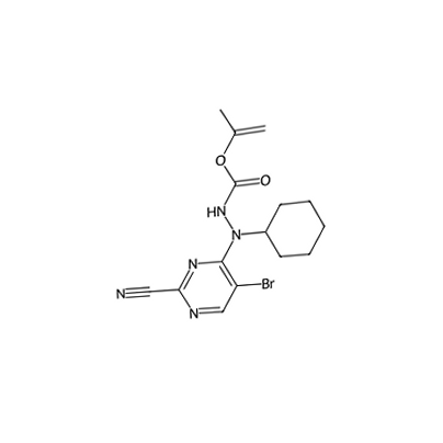 C=C(C)OC(=O)NN(c1nc(C#N)ncc1Br)C1CCCCC1